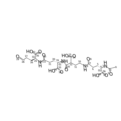 CC(=O)N[C@@H](CCC(=O)NCCC(C(=O)O)C(=O)N[C@@H](CCC(=O)N[C@@H](CC[C]=O)C(=O)O)C(=O)O)C(=O)O